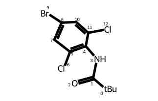 CC(C)(C)C(=O)Nc1c(Cl)cc(Br)cc1Cl